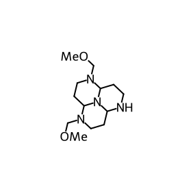 COCN1CCC2NCCC3N(COC)CCC1N23